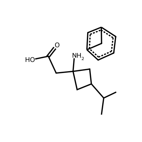 CC(C)C1CC(N)(CC(=O)O)C1.c1cc2cc(c1)C2